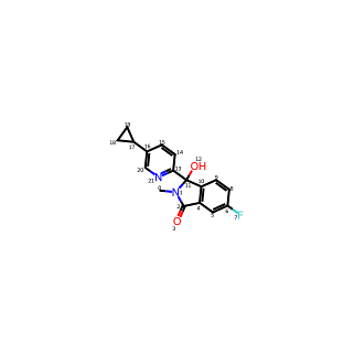 CN1C(=O)c2cc(F)ccc2C1(O)c1ccc(C2CC2)cn1